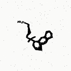 CC(C)(CCCCC(=O)O)c1cccc2cc3ccccc3cc12